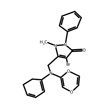 Cn1c(CN(C2=CC=CCC2)C2=COC=CO2)c(Br)c(=O)n1-c1ccccc1